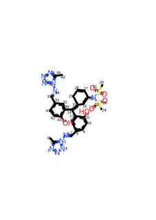 Cc1nnnn1N=Cc1ccc(O)c(C(=C2C=C(N(S(C)(=O)=O)S(C)(=O)=O)C=CC2)c2cc(C=Nn3nnnc3C)ccc2O)c1